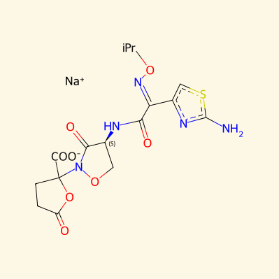 CC(C)ON=C(C(=O)N[C@H]1CON(C2(C(=O)[O-])CCC(=O)O2)C1=O)c1csc(N)n1.[Na+]